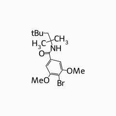 COc1cc(C(=O)NC(C)(C)CC(C)(C)C)cc(OC)c1Br